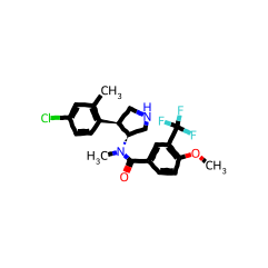 COc1ccc(C(=O)N(C)[C@H]2CNC[C@@H]2c2ccc(Cl)cc2C)cc1C(F)(F)F